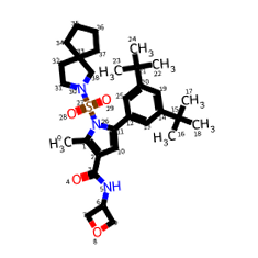 Cc1c(C(=O)NC2COC2)cc(-c2cc(C(C)(C)C)cc(C(C)(C)C)c2)n1S(=O)(=O)N1CCC2(CCCC2)C1